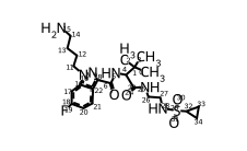 CC(C)(C)C(NC(=O)c1nn(CCCCN)c2cc(F)ccc12)C(=O)NCCNS(=O)(=O)C1CC1